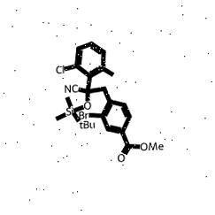 COC(=O)c1ccc(CC(C#N)(O[Si](C)(C)C(C)(C)C)c2c(C)cccc2Cl)c(Br)c1